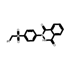 CC(C)CS(=O)(=O)c1ccc(-n2[nH]c(=O)c3ccccc3c2=O)cc1